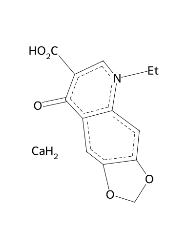 CCn1cc(C(=O)O)c(=O)c2cc3c(cc21)OCO3.[CaH2]